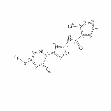 O=C(Nc1ncn(-c2ncc(CF)cc2Cl)n1)c1ccccc1Cl